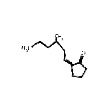 CCCC(C)CC=C1CCCC1=O